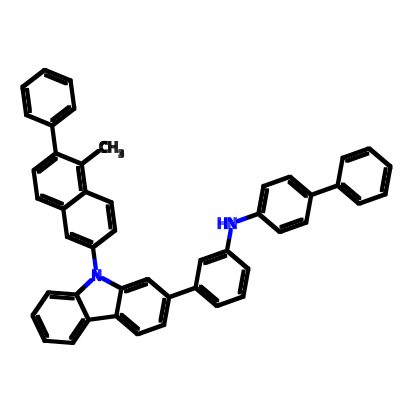 Cc1c(-c2ccccc2)ccc2cc(-n3c4ccccc4c4ccc(-c5cccc(Nc6ccc(-c7ccccc7)cc6)c5)cc43)ccc12